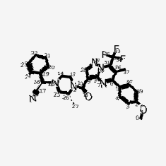 COc1ccc(-c2nc3c(C(=O)N4CCN([C@@H](C#N)c5ccccc5)C[C@H]4C)cnn3c(C(F)(F)F)c2C)cc1